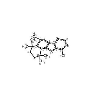 Cc1cc2c(sc3c(Cl)nccc32)c2c1C(C)(C)CCC2(C)C